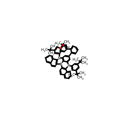 CC(C)(C)c1cc(N2c3cc(-c4ccccc4-c4ccccc4)cc4c3B(c3ccc5ccccc5c32)c2ccc3ccccc3c2N4c2cc(C(C)(C)C)cc(C(C)(C)C)c2)cc(C(C)(C)C)c1